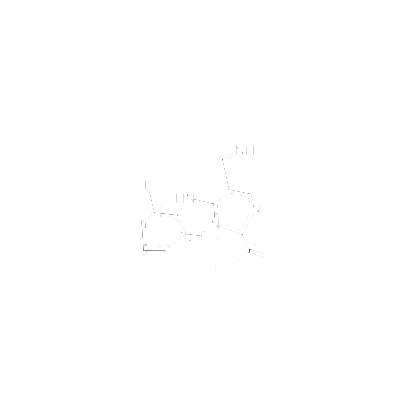 N=Cc1cnc(C(=O)O)nc1Nc1c(F)cccc1F